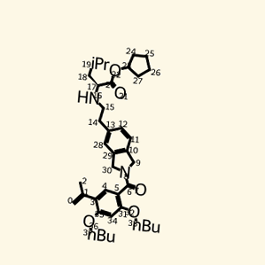 C=C(C)c1cc(C(=O)N2Cc3ccc(CCN[C@@H](CC(C)C)C(=O)OC4CCCC4)cc3C2)c(OCCCC)cc1OCCCC